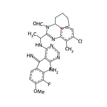 COc1ccc(C(=N)c2c(N)ncnc2NC(C)/C(=N/c2cccc(Cl)c2C)N(C=O)C2CCCCC2)c(F)c1F